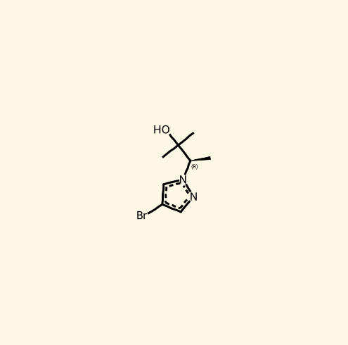 C[C@@H](n1cc(Br)cn1)C(C)(C)O